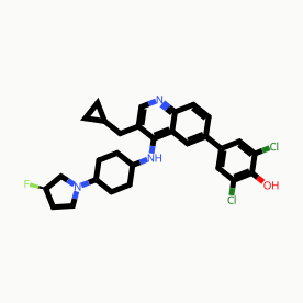 Oc1c(Cl)cc(-c2ccc3ncc(CC4CC4)c(NC4CCC(N5CC[C@@H](F)C5)CC4)c3c2)cc1Cl